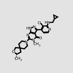 C[C@H]1CC2(CCN(c3nc4[nH]nc(-c5ccnc(NCC6CC6)c5Cl)c4c(=O)n3C)CC2)CO1